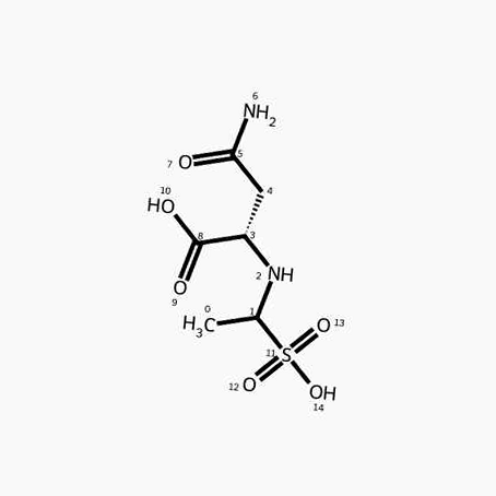 CC(N[C@@H](CC(N)=O)C(=O)O)S(=O)(=O)O